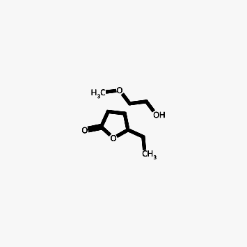 CCC1CCC(=O)O1.COCCO